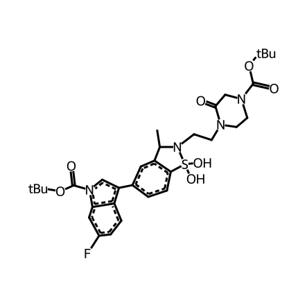 CC1c2cc(-c3cn(C(=O)OC(C)(C)C)c4cc(F)ccc34)ccc2S(O)(O)N1CCN1CCN(C(=O)OC(C)(C)C)CC1=O